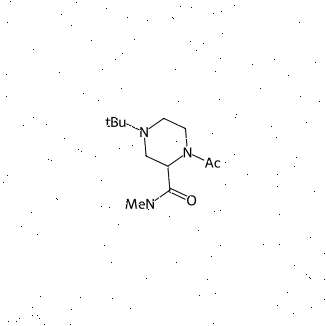 CNC(=O)C1CN(C(C)(C)C)CCN1C(C)=O